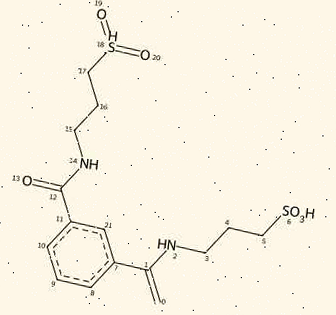 C=C(NCCCS(=O)(=O)O)c1cccc(C(=O)NCCC[SH](=O)=O)c1